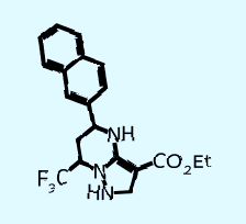 CCOC(=O)C1=C2NC(c3ccc4ccccc4c3)CC(C(F)(F)F)N2NC1